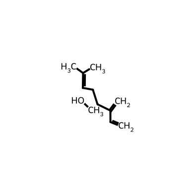 C=CC(=C)CCC=C(C)C.CO